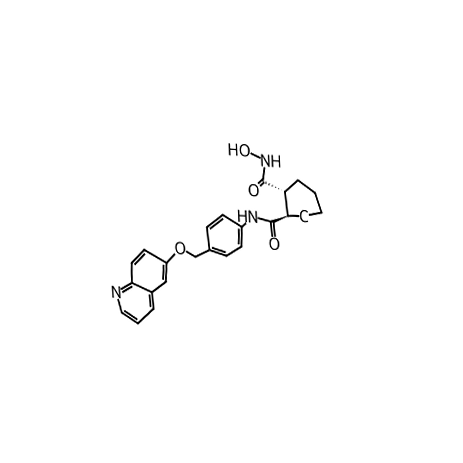 O=C(NO)[C@@H]1CCCC[C@H]1C(=O)Nc1ccc(COc2ccc3ncccc3c2)cc1